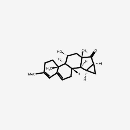 COC1=CC2=CC[C@@H]3[C@H]([C@H](O)C[C@]4(C)C(=O)[C@H]5C[C@H]5[C@@H]34)[C@@]2(C)CC1